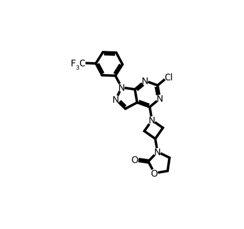 O=C1OCCN1C1CN(c2nc(Cl)nc3c2cnn3-c2cccc(C(F)(F)F)c2)C1